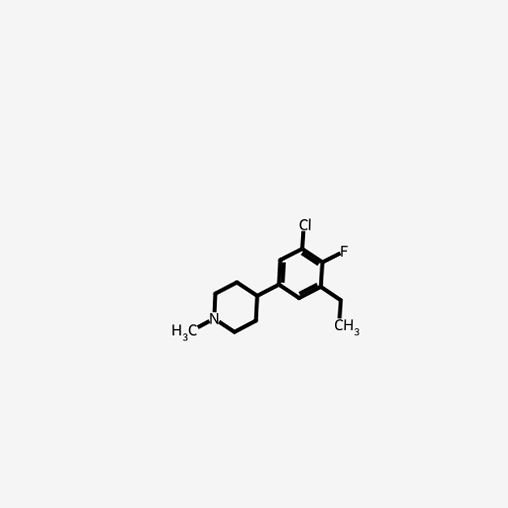 CCc1cc(C2CCN(C)CC2)cc(Cl)c1F